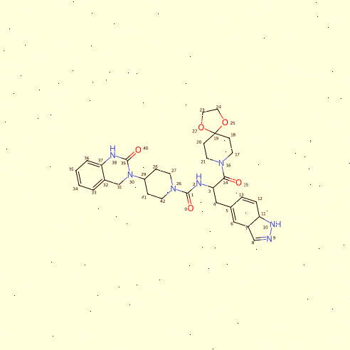 O=C(NC(CC1=CC2C=NNC2C=C1)C(=O)N1CCC2(CC1)OCCO2)N1CCC(N2Cc3ccccc3NC2=O)CC1